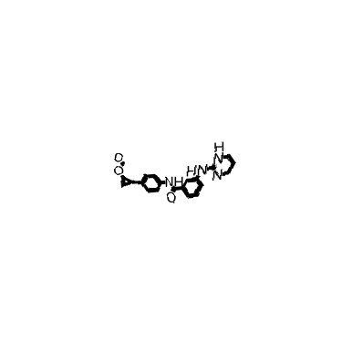 O=COC1CC1c1ccc(NC(=O)c2cccc(NC3=NCCCN3)c2)cc1